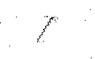 CCOC(=O)CCCCCCCCCCCCCC(C)(C)C(=O)OCC